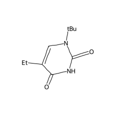 CCc1cn(C(C)(C)C)c(=O)[nH]c1=O